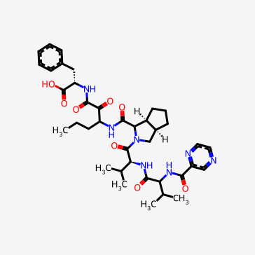 CCCC(NC(=O)C1[C@H]2CCC[C@H]2CN1C(=O)[C@@H](NC(=O)C(NC(=O)c1cnccn1)C(C)C)C(C)C)C(=O)C(=O)N[C@@H](Cc1ccccc1)C(=O)O